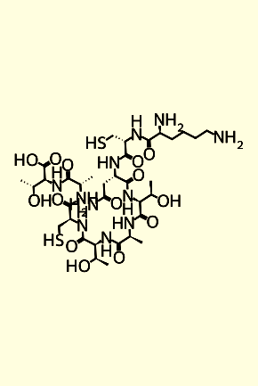 C[C@H](NC(=O)[C@H](CS)NC(=O)[C@@H](NC(=O)[C@H](C)NC(=O)[C@@H](NC(=O)[C@H](CC(N)=O)NC(=O)[C@H](CS)NC(=O)[C@@H](N)CCCCN)[C@@H](C)O)[C@@H](C)O)C(=O)N[C@H](C(=O)O)[C@@H](C)O